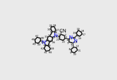 N#Cc1cc(-c2cc(-c3ccccc3)nc(-c3ccccc3)n2)ccc1-n1c2ccccc2c2cc3c(cc21)c1ccccc1n3-c1ccccc1